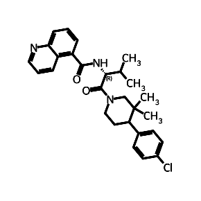 CC(C)[C@@H](NC(=O)c1cccc2ncccc12)C(=O)N1CCC(c2ccc(Cl)cc2)C(C)(C)C1